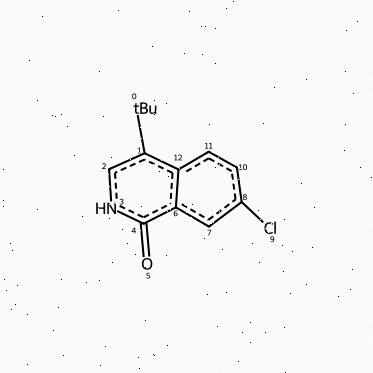 CC(C)(C)c1c[nH]c(=O)c2cc(Cl)ccc12